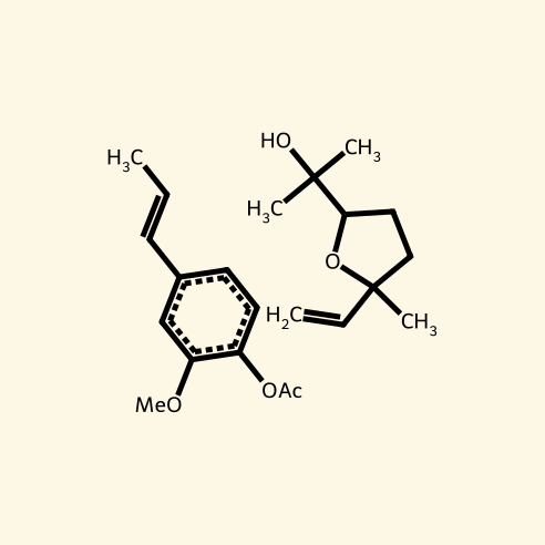 C/C=C/c1ccc(OC(C)=O)c(OC)c1.C=CC1(C)CCC(C(C)(C)O)O1